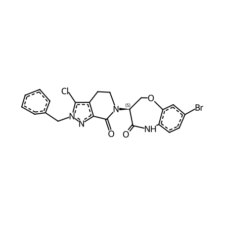 O=C1Nc2ccc(Br)cc2OC[C@@H]1N1CCc2c(nn(Cc3ccccc3)c2Cl)C1=O